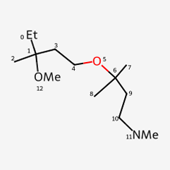 CCC(C)(CCOC(C)(C)CCNC)OC